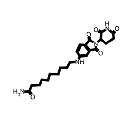 NC(=O)CCCCCCCCCNc1ccc2c(c1)C(=O)N(C1CCC(=O)NC1=O)C2=O